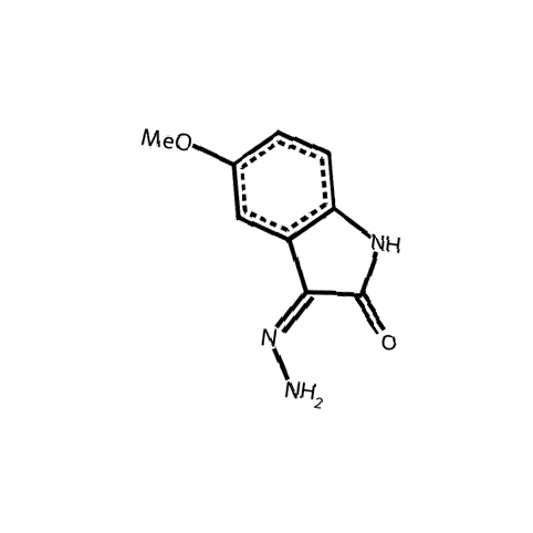 COc1ccc2c(c1)/C(=N/N)C(=O)N2